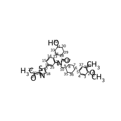 COc1ccc([C@H]2CC[C@H](CN(c3cccc(-c4cnc(C(C)=O)s4)c3)C(=O)[C@H]3CC[C@H](O)CC3)CC2)cc1C